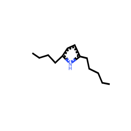 CCCCCc1ccc(CCCC)[nH]1